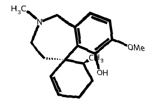 COc1ccc2c(c1O)[C@@]1(C=CCC[C@@H]1C)CCN(C)C2